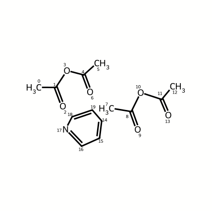 CC(=O)OC(C)=O.CC(=O)OC(C)=O.c1ccncc1